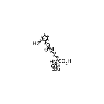 C#Cc1ccccc1COC(=O)NCCCC[C@H](NC(=O)OC(C)(C)C)C(=O)O